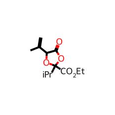 C=C(C)C1OC(C(=O)OCC)(C(C)C)OC1=O